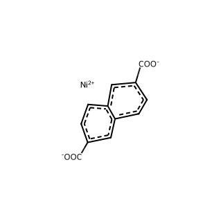 O=C([O-])c1ccc2cc(C(=O)[O-])ccc2c1.[Ni+2]